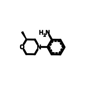 C[C@H]1CN(c2ccccc2N)CCO1